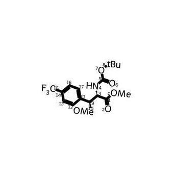 COC(=O)[C@@H](NC(=O)OC(C)(C)C)[C@@H](OC)c1ccc(C(F)(F)F)cc1